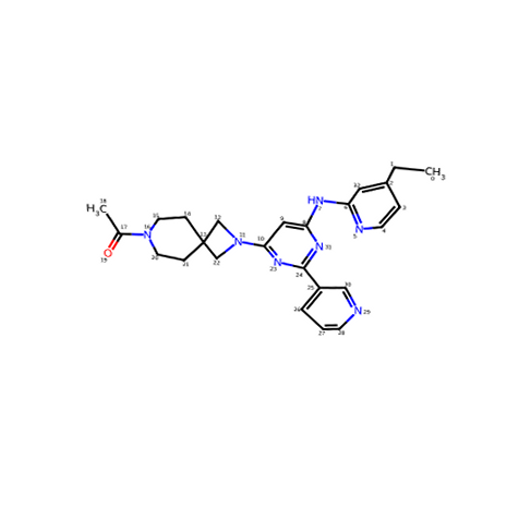 CCc1ccnc(Nc2cc(N3CC4(CCN(C(C)=O)CC4)C3)nc(-c3cccnc3)n2)c1